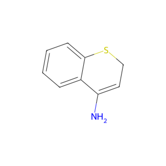 NC1=CCSc2ccccc21